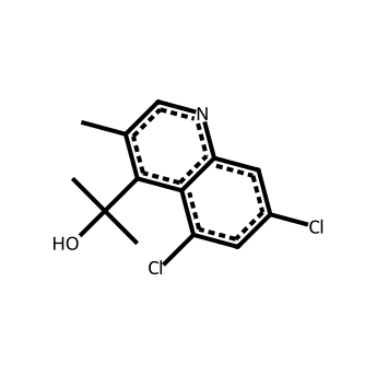 Cc1cnc2cc(Cl)cc(Cl)c2c1C(C)(C)O